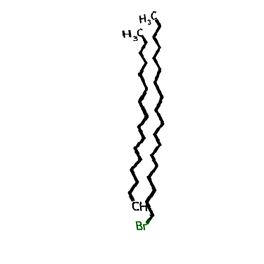 CCCCCCCCCCCCCCCC.CCCCCCCCCCCCCCCCCCBr